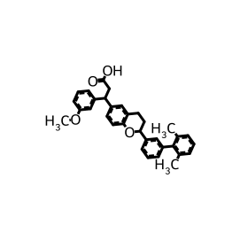 COc1cccc(C(CC(=O)O)c2ccc3c(c2)CCC(c2cccc(-c4c(C)cccc4C)c2)O3)c1